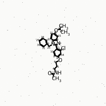 CC(=O)NCCCOc1ccc(-c2nc3cc(OC(C)C)ccc3n2Cc2ccccc2)c(Cl)c1